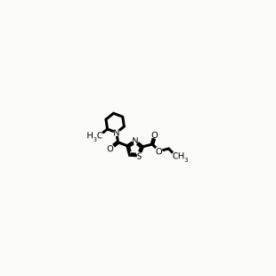 CCOC(=O)c1nc(C(=O)N2CCCCC2C)cs1